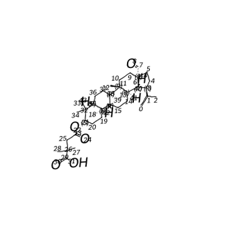 C=C(C)[C@@H]1CC[C@]2(C=O)CC[C@]3(C)[C@H](CC[C@@H]4[C@@]5(C)CC[C@H](OC(=O)CC(C)(C)C(=O)O)C(C)(C)[C@@H]5CC[C@]43C)[C@@H]12